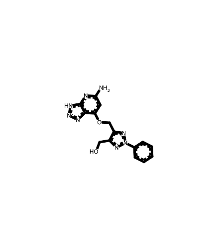 Nc1cc(OCc2nn(-c3ccccc3)nc2CO)c2nn[nH]c2n1